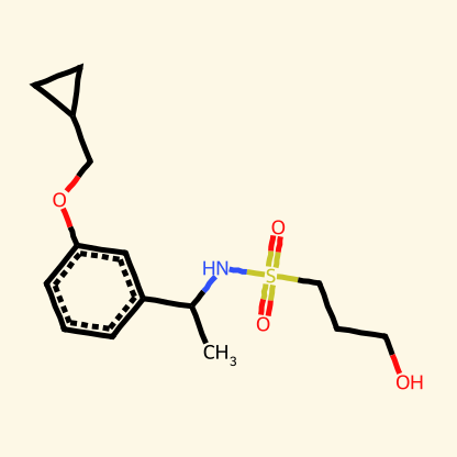 CC(NS(=O)(=O)CCCO)c1cccc(OCC2CC2)c1